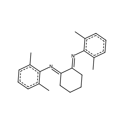 Cc1cccc(C)c1N=C1CCCCC1=Nc1c(C)cccc1C